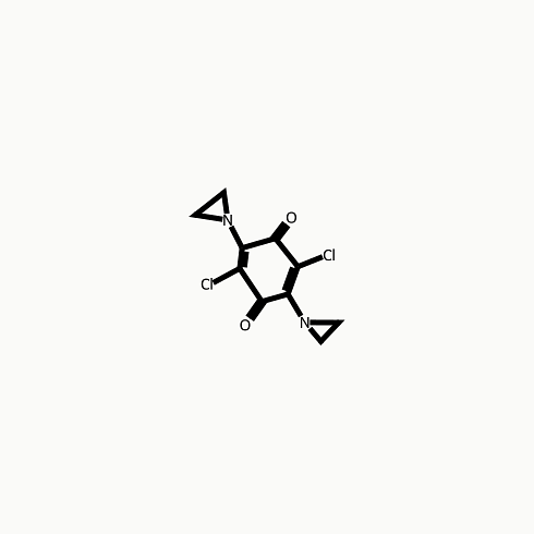 O=C1C(Cl)=C(N2CC2)C(=O)C(Cl)=C1N1CC1